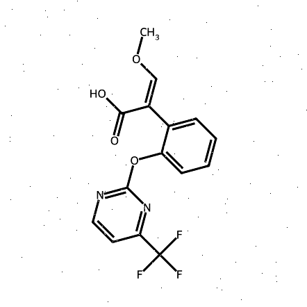 COC=C(C(=O)O)c1ccccc1Oc1nccc(C(F)(F)F)n1